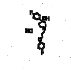 Cl.OC1(c2ccc(F)cc2)CCN(CCCOc2ccc(F)cc2)CC1